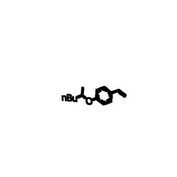 C=Cc1ccc(OC(C)CCCC)cc1